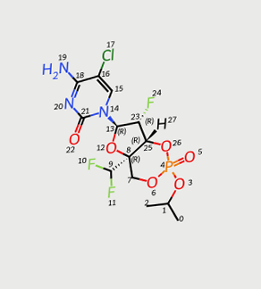 CC(C)OP1(=O)OC[C@@]2(C(F)F)O[C@@H](n3cc(Cl)c(N)nc3=O)[C@H](F)[C@@H]2O1